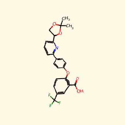 CC1(C)OCC(c2cccc(-c3ccc(Oc4ccc(C(F)(F)F)cc4C(=O)O)cc3)n2)O1